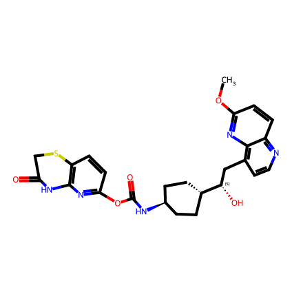 COc1ccc2nccc(C[C@H](O)[C@H]3CC[C@H](NC(=O)Oc4ccc5c(n4)NC(=O)CS5)CC3)c2n1